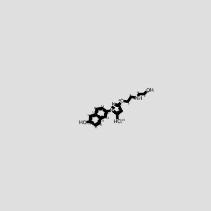 Cc1cc(OCCNCCO)nn1-c1ccc2cc(O)ccc2c1.Cl